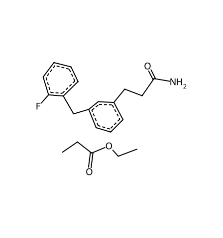 CCOC(=O)CC.NC(=O)CCc1cccc(Cc2ccccc2F)c1